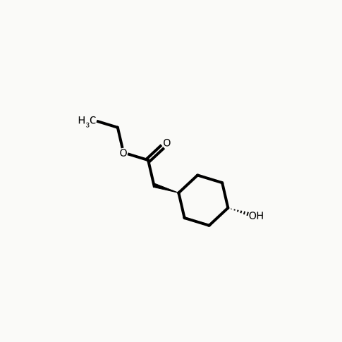 CCOC(=O)C[C@H]1CC[C@H](O)CC1